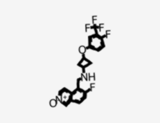 [O-][n+]1ccc2c(CNC3CC(Oc4ccc(F)c(C(F)(F)F)c4)C3)c(F)ccc2c1